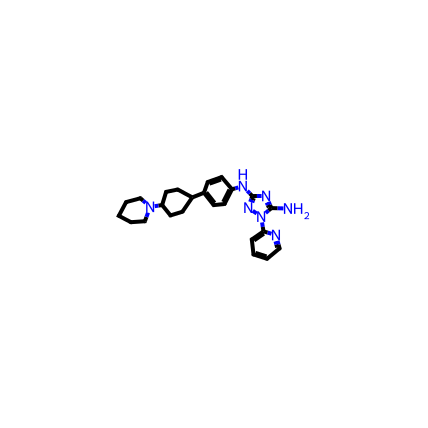 Nc1nc(Nc2ccc(C3CCC(N4CCCCC4)CC3)cc2)nn1-c1ccccn1